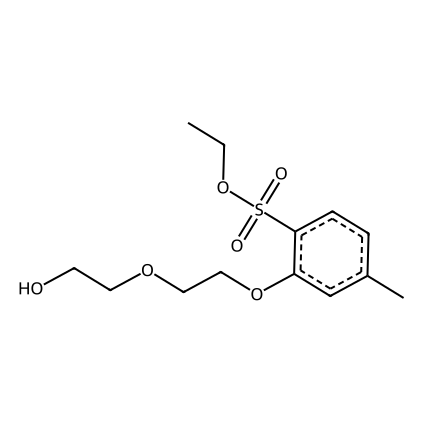 CCOS(=O)(=O)c1ccc(C)cc1OCCOCCO